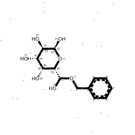 OC(OCc1ccccc1)[C@H]1O[C@H](O)[C@H](O)[C@@H](O)[C@H]1O